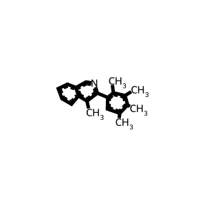 Cc1cc(-c2ncc3ccccc3c2C)c(C)c(C)c1C